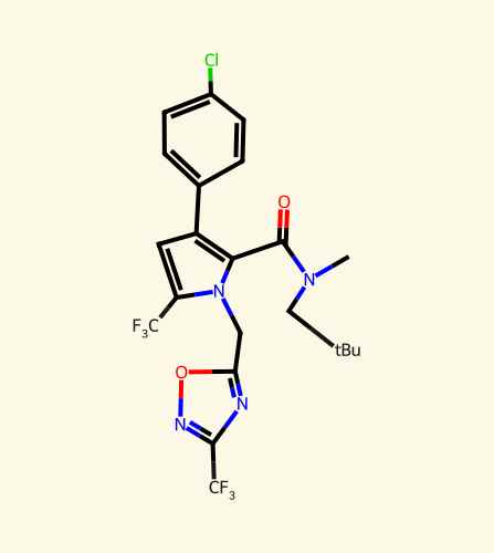 CN(CC(C)(C)C)C(=O)c1c(-c2ccc(Cl)cc2)cc(C(F)(F)F)n1Cc1nc(C(F)(F)F)no1